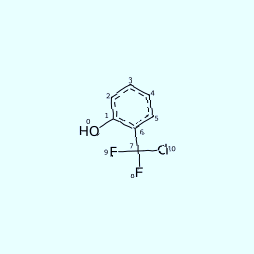 Oc1ccccc1C(F)(F)Cl